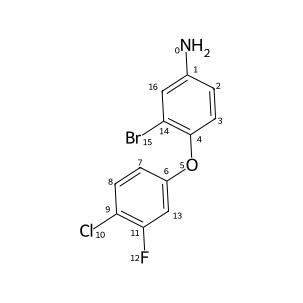 Nc1ccc(Oc2ccc(Cl)c(F)c2)c(Br)c1